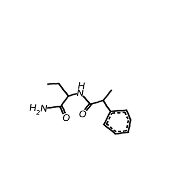 CCC(NC(=O)C(C)c1ccccc1)C(N)=O